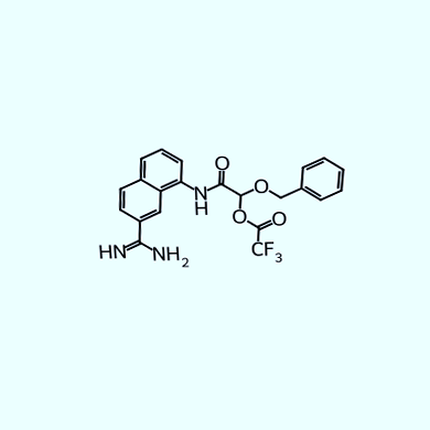 N=C(N)c1ccc2cccc(NC(=O)C(OCc3ccccc3)OC(=O)C(F)(F)F)c2c1